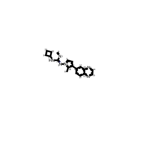 C=N/C(=N\n1ccc(-c2ccc3nccnc3c2)c1C)NC1CCC1